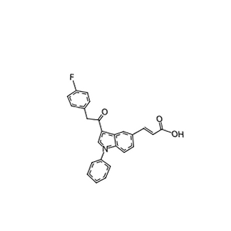 O=C(O)C=Cc1ccc2c(c1)c(C(=O)Cc1ccc(F)cc1)cn2-c1ccccc1